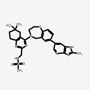 Cc1nc2ncc(-c3ccc4c(c3)CN(c3nc(CNS(C)(=O)=O)nc5c3CC(C)(C)CC5)CCO4)cc2[nH]1